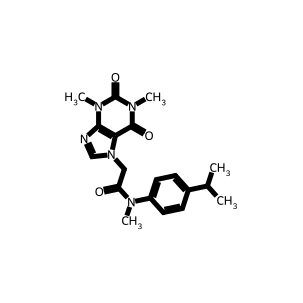 CC(C)c1ccc(N(C)C(=O)Cn2cnc3c2c(=O)n(C)c(=O)n3C)cc1